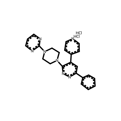 Cl.Cl.c1ccc(-c2cc(-c3ccncc3)c(N3CCN(c4ncccn4)CC3)nn2)cc1